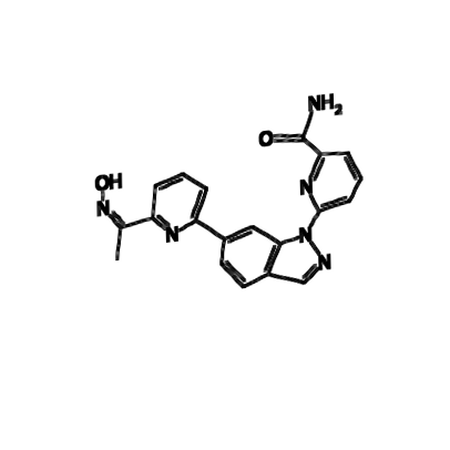 C/C(=N/O)c1cccc(-c2ccc3cnn(-c4cccc(C(N)=O)n4)c3c2)n1